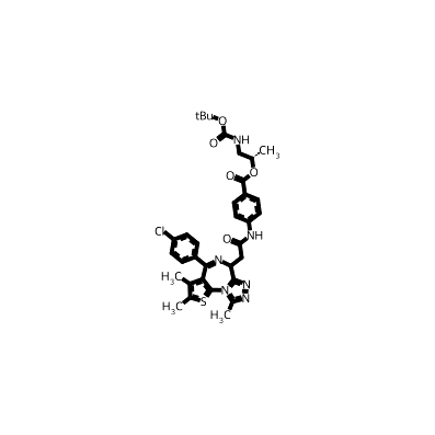 Cc1sc2c(c1C)C(c1ccc(Cl)cc1)=NC(CC(=O)Nc1ccc(C(=O)O[C@@H](C)CNC(=O)OC(C)(C)C)cc1)c1nnc(C)n1-2